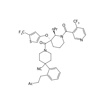 CCC[C@H]1N(C(=O)c2cnccc2C(F)(F)F)CCC[C@@]1(Oc1csc(C(F)(F)F)c1)C(=O)N1CCC(C#N)(c2ccccc2CCC(C)=O)CC1